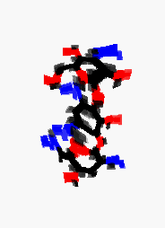 NCC1O[C@@H](OC2C(O)[C@@H](O[C@H]3OC(CO)[C@@H](O)[C@H](N)C3O)[C@H](N)C[C@@H]2N)C(N)C[C@@H]1O